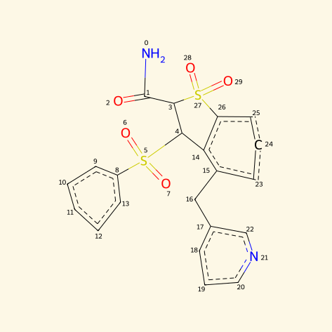 NC(=O)C1C(S(=O)(=O)c2ccccc2)c2c(Cc3cccnc3)cccc2S1(=O)=O